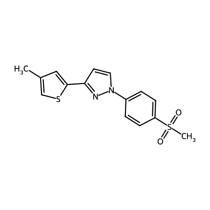 Cc1csc(-c2ccn(-c3ccc(S(C)(=O)=O)cc3)n2)c1